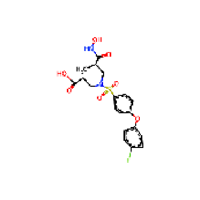 CC(CN(CCC(=O)O)S(=O)(=O)c1ccc(Oc2ccc(F)cc2)cc1)C(=O)NO